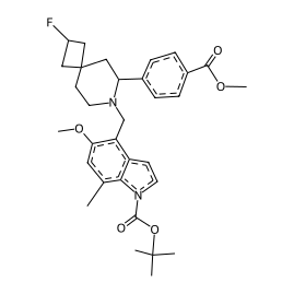 COC(=O)c1ccc(C2CC3(CCN2Cc2c(OC)cc(C)c4c2ccn4C(=O)OC(C)(C)C)CC(F)C3)cc1